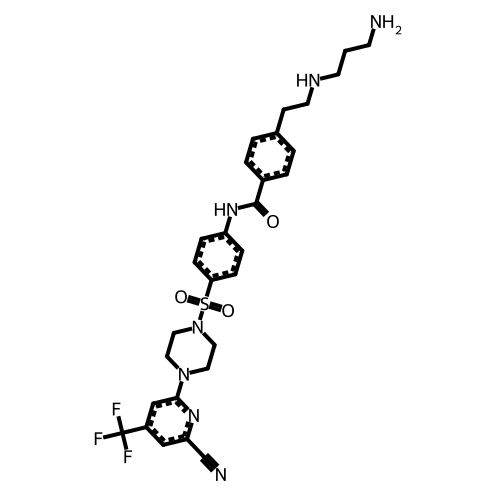 N#Cc1cc(C(F)(F)F)cc(N2CCN(S(=O)(=O)c3ccc(NC(=O)c4ccc(CCNCCCN)cc4)cc3)CC2)n1